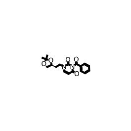 CC1(C)OC[C@H](CCn2ccc(=O)n(C(=O)c3ccccc3)c2=O)O1